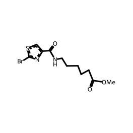 COC(=O)CCCCCNC(=O)c1csc(Br)n1